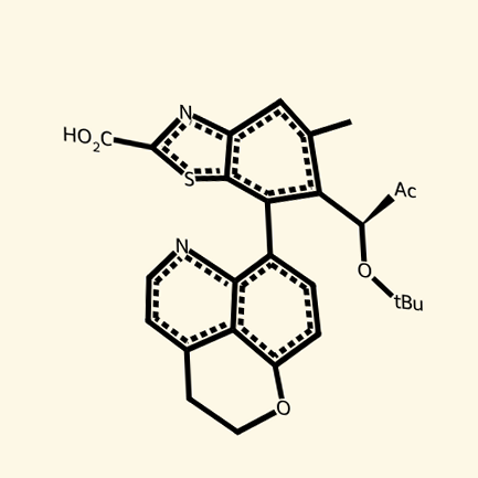 CC(=O)[C@@H](OC(C)(C)C)c1c(C)cc2nc(C(=O)O)sc2c1-c1ccc2c3c(ccnc13)CCO2